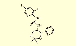 CC1(C)OC[C@H](NC(=O)Nc2ccc(F)cc2F)[C@H](c2ccccc2)O1